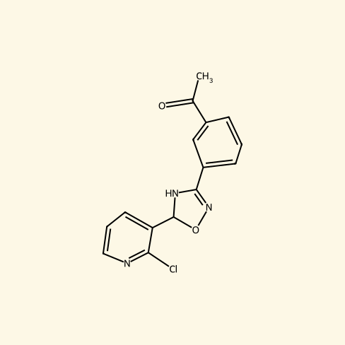 CC(=O)c1cccc(C2=NOC(c3cccnc3Cl)N2)c1